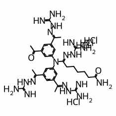 CC(=O)c1cc(C(C)=NNC(=N)N)cc(N(C(CCCCCC(N)=O)=NNC(=N)N)c2cc(C(C)=NNC(=N)N)cc(C(C)=NNC(=N)N)c2)c1.Cl.Cl.Cl.Cl